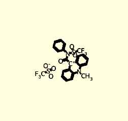 Cn1c2ccccc2[c+](C(=O)N(c2ccccc2)S(=O)(=O)C(F)(F)F)c2ccccc21.O=S(=O)([O-])C(F)(F)F